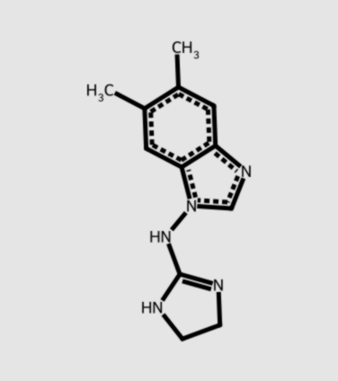 Cc1cc2ncn(NC3=NCCN3)c2cc1C